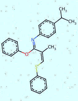 CC(=CSc1ccccc1)C(=Nc1ccc(C(C)C)cc1)Oc1ccccc1